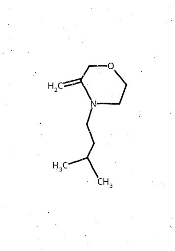 C=C1COCCN1CCC(C)C